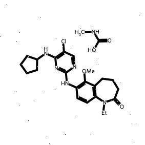 CCN1C(=O)CCCc2c1ccc(Nc1ncc(Cl)c(NC3CCCC3)n1)c2OC.CNC(=O)O